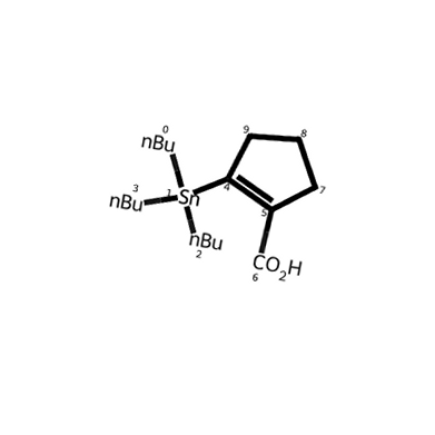 CCC[CH2][Sn]([CH2]CCC)([CH2]CCC)[C]1=C(C(=O)O)CCC1